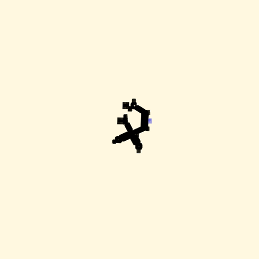 C/C=C\S(=O)(=O)S